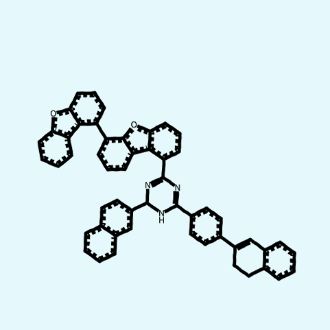 C1=C(c2ccc(C3=NC(c4cccc5oc6c(-c7cccc8oc9ccccc9c78)cccc6c45)=NC(c4ccc5ccccc5c4)N3)cc2)CCc2ccccc21